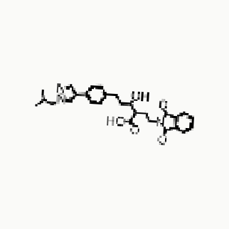 CC(C)Cn1cc(-c2ccc(CCC(O)C(CCN3C(=O)c4ccccc4C3=O)C(=O)O)cc2)cn1